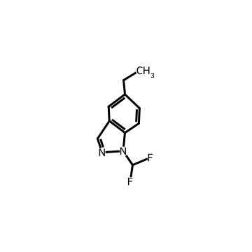 CCc1ccc2c(cnn2C(F)F)c1